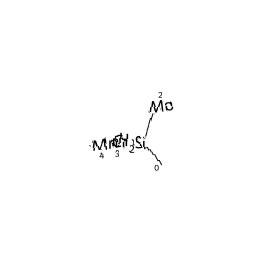 C[SiH2][Mo].[Cr].[Mn]